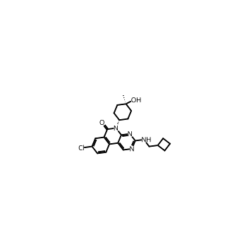 C[C@]1(O)CC[C@H](n2c(=O)c3cc(Cl)ccc3c3cnc(NCC4CCC4)nc32)CC1